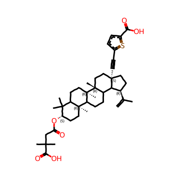 C=C(C)[C@@H]1CC[C@]2(C#Cc3ccc(C(=O)O)s3)CC[C@]3(C)C(CCC4[C@@]5(C)CC[C@H](OC(=O)CC(C)(C)C(=O)O)C(C)(C)C5CC[C@]43C)C12